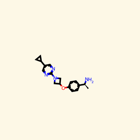 C[C@H](N)c1ccc(OC2CN(c3ncc(C4CC4)cn3)C2)cc1